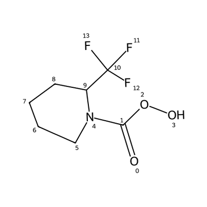 O=C(OO)N1CCCCC1C(F)(F)F